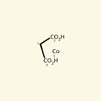 O=C(O)CC(=O)O.[Co]